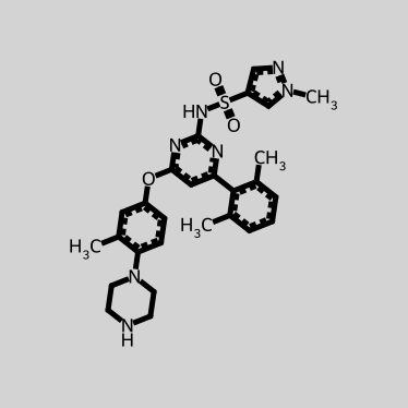 Cc1cc(Oc2cc(-c3c(C)cccc3C)nc(NS(=O)(=O)c3cnn(C)c3)n2)ccc1N1CCNCC1